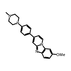 COc1ccc2nc3cc(-c4ccc(N5CCN(C)CC5)cc4)ccn3c2c1